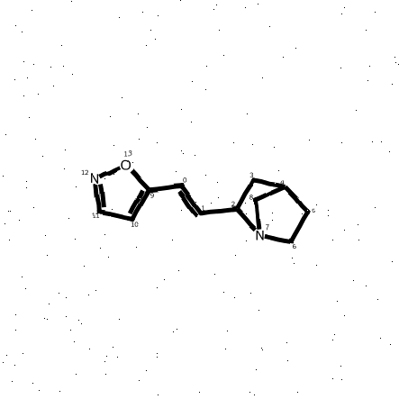 C(=CC1CC2CCN1C2)c1ccno1